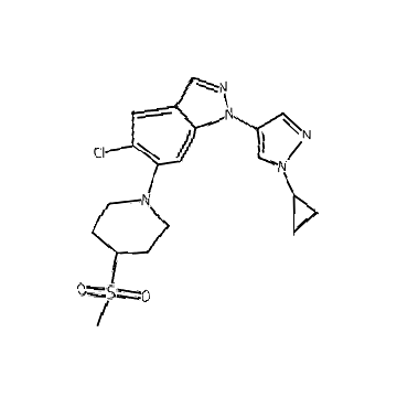 CS(=O)(=O)C1CCN(c2cc3c(cnn3-c3cnn(C4CC4)c3)cc2Cl)CC1